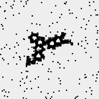 CC(c1ncccn1)N(Cc1ccc(OC(F)F)nn1)C(=O)c1ccc2nc(N)c(Br)cc2c1